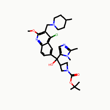 COc1nc2ccc(C(O)(c3cnc(C)n3C)C3CN(C(=O)OC(C)(C)C)C3)cc2c(Cl)c1CN1CCC(C)CC1